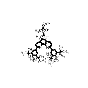 CC(=O)[O-].CC(=O)[O-].COc1c(C(C)(C)C)cc(-c2ccc3ccc4ccc(-c5cc(C(C)(C)C)c(OC)c(C(C)(C)C)c5)nc4c3n2)cc1C(C)(C)C.[Co+2]